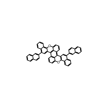 c1ccc2cc(-c3cc4c(oc5cccc6c5c4c4cccc5oc7c8ccccc8c(-c8ccc9ccccc9c8)cc7c6c54)c4ccccc34)ccc2c1